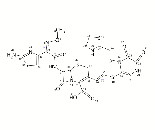 CO/N=C(\C(=O)NC1C(=O)N2C(C(=O)O)=C(/C=C/Sc3n[nH]c(=O)c(=O)n3CCC3NCCS3)CSC12)c1csc(N)n1